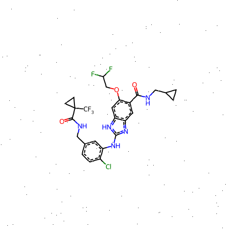 O=C(NCC1CC1)c1cc2nc(Nc3cc(CNC(=O)C4(C(F)(F)F)CC4)ccc3Cl)[nH]c2cc1OCC(F)F